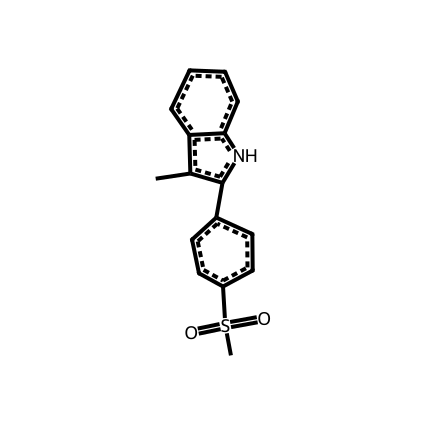 Cc1c(-c2ccc(S(C)(=O)=O)cc2)[nH]c2ccccc12